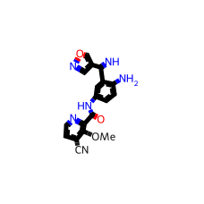 COc1c(C#N)ccnc1C(=O)Nc1ccc(N)c(C(=N)c2cnoc2)c1